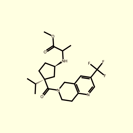 COC(=O)C(C)N[C@@H]1CC[C@@](C(=O)N2CCc3ncc(C(F)(F)F)cc3C2)(C(C)C)C1